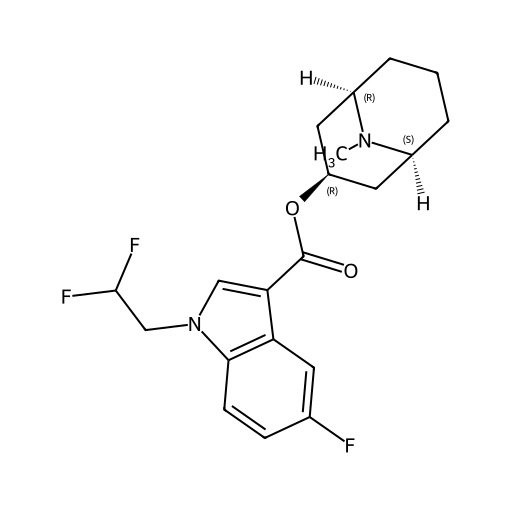 CN1[C@@H]2CCC[C@H]1C[C@@H](OC(=O)c1cn(CC(F)F)c3ccc(F)cc13)C2